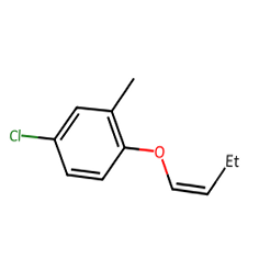 CC/C=C\Oc1ccc(Cl)cc1C